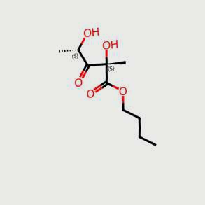 CCCCOC(=O)[C@@](C)(O)C(=O)[C@H](C)O